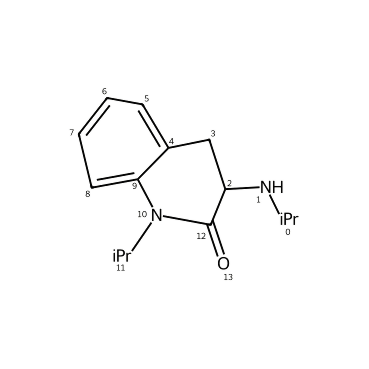 CC(C)NC1Cc2ccccc2N(C(C)C)C1=O